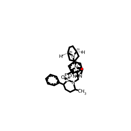 CC1CCC(c2ccccc2)S(=O)(=O)N1Cc1ccc(N2[C@@H]3CC[C@H]2C[C@@H](n2cnnc2)C3)cc1F